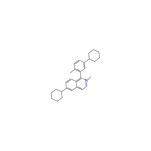 Cc1ccc(C2CCCCC2)cc1-c1c2ccc(C3CCCCC3)cc2cc[n+]1C